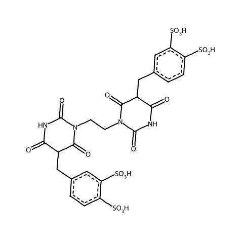 O=C1NC(=O)N(CCN2C(=O)NC(=O)C(Cc3ccc(S(=O)(=O)O)c(S(=O)(=O)O)c3)C2=O)C(=O)C1Cc1ccc(S(=O)(=O)O)c(S(=O)(=O)O)c1